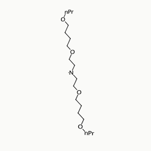 CCCOCCCCOCC[N]CCOCCCCOCCC